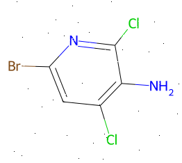 Nc1c(Cl)cc(Br)nc1Cl